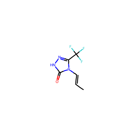 CC=Cn1c(C(F)(F)F)n[nH]c1=O